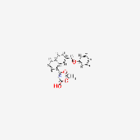 CO/C(=C\C(=O)O)c1cccc2ccc(COc3ccccc3)cc12